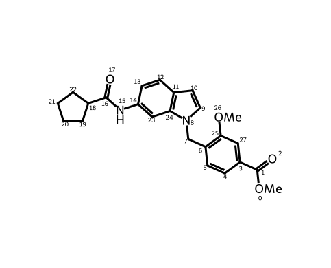 COC(=O)c1ccc(Cn2ccc3ccc(NC(=O)C4CCCC4)cc32)c(OC)c1